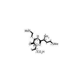 CSCC[C@H](NC(=O)[C@@H](N)CCSC)C(=O)N[C@@H](C)C(=O)O